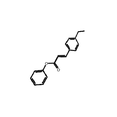 CCc1ccc(C=CC(=O)Oc2ccccc2)cc1